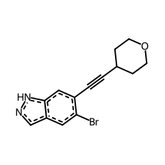 Brc1cc2cn[nH]c2cc1C#CC1CCOCC1